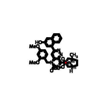 COc1ccc(Cn2c(=O)nc(N3C[C@H]4CC[C@@](C)(C3)N4C(=O)OC(C)(C)C)c3nnc(-c4cc(O)cc5ccccc45)cc32)c(OC)c1